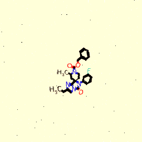 CCc1cn2c(n1)[C@@]1(CCN(C(=O)OCc3ccccc3)C(C)C1)N(c1cccc(F)c1)C2=O